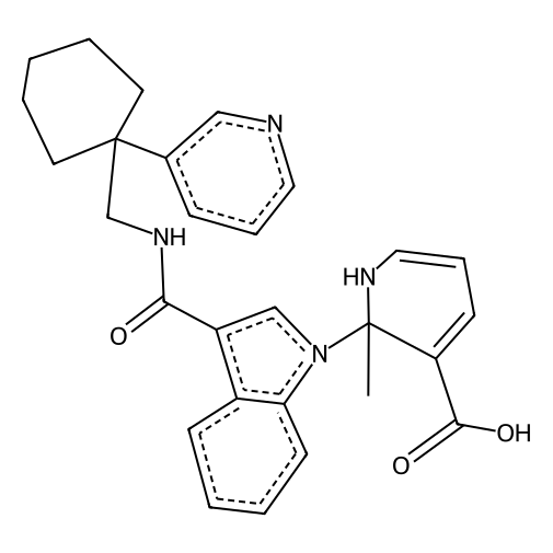 CC1(n2cc(C(=O)NCC3(c4cccnc4)CCCCC3)c3ccccc32)NC=CC=C1C(=O)O